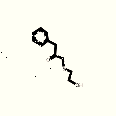 O=C(CSCCO)Cc1ccccc1